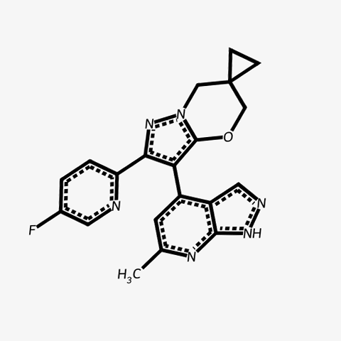 Cc1cc(-c2c(-c3ccc(F)cn3)nn3c2OCC2(CC2)C3)c2cn[nH]c2n1